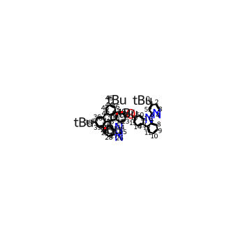 CC(C)(C)c1ccnc(-n2c3ccccc3c3ccc(Oc4ccc5c(c4)-n4cnc6cccc(c64)C54c5c(cc(C(C)(C)C)cc5C(C)(C)C)-c5cc(C(C)(C)C)cc(C(C)(C)C)c54)cc32)c1